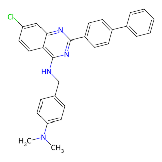 CN(C)c1ccc(CNc2nc(-c3ccc(-c4ccccc4)cc3)nc3cc(Cl)ccc23)cc1